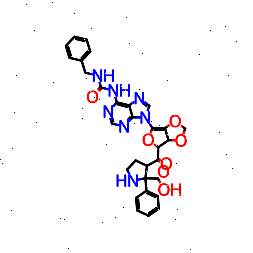 O=C(NCc1ccccc1)Nc1ncnc2c1ncn2C1=C2OCOC2C(C(=O)C2CCNC2(C(=O)O)c2ccccc2)O1